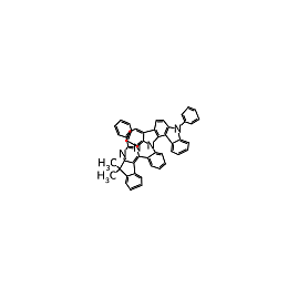 CC1(C)c2ccccc2-c2c(-c3ccccc3-n3c4ccccc4c4ccc5c(c6ccccc6n5-c5ccccc5)c43)nc(-c3ccccc3)nc21